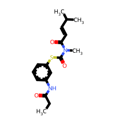 CCC(=O)Nc1cccc(SC(=O)N(C)C(=O)C=CC(C)C)c1